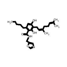 CCCCCc1cc(O)c(CC=C(C)CCC=C(C)C)c(O)c1C(=O)NCc1cnco1